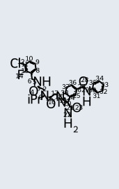 CC(C)N(CC(=O)NCc1cccc(Cl)c1F)C(=O)CN1N=C(C(N)=O)C2=CC(C(=O)Nc3ccccc3)=CCC21